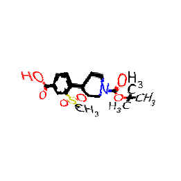 CC(C)(C)OC(=O)N1CCC(c2ccc(C(=O)O)cc2S(C)(=O)=O)CC1